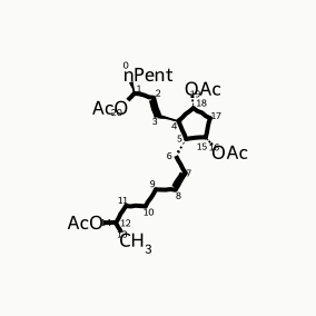 CCCCC[C@@H](/C=C/[C@@H]1[C@@H](C/C=C\CCCC(C)OC(C)=O)[C@@H](OC(C)=O)C[C@H]1OC(C)=O)OC(C)=O